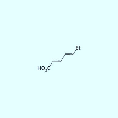 CC/C=C/C=C/C(=O)O